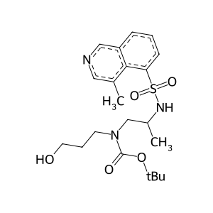 Cc1cncc2cccc(S(=O)(=O)NC(C)CN(CCCO)C(=O)OC(C)(C)C)c12